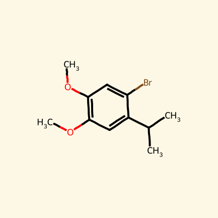 COc1cc(Br)c(C(C)C)cc1OC